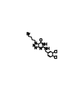 O=c1[nH]c(NCc2ccc(Cl)c(Cl)c2)nc2nnn(CCCCBr)c12